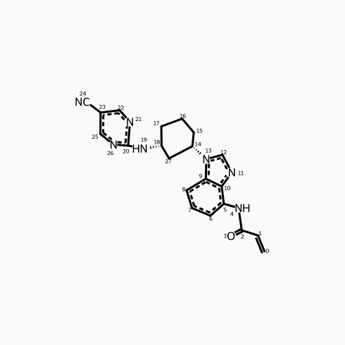 C=CC(=O)Nc1cccc2c1ncn2[C@H]1CCC[C@@H](Nc2ncc(C#N)cn2)C1